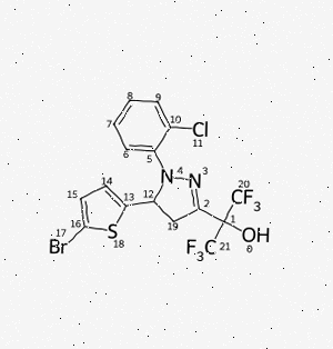 OC(C1=NN(c2ccccc2Cl)C(c2ccc(Br)s2)C1)(C(F)(F)F)C(F)(F)F